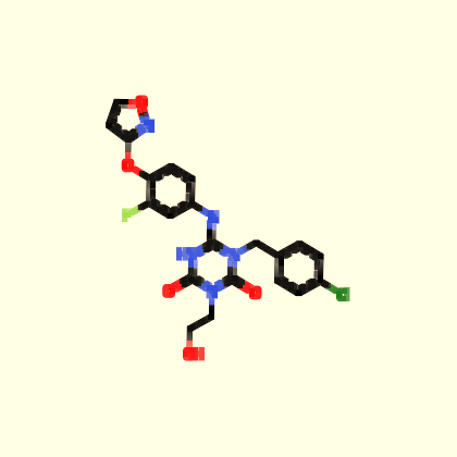 O=c1[nH]/c(=N\c2ccc(Oc3ccon3)c(F)c2)n(Cc2ccc(Cl)cc2)c(=O)n1CCO